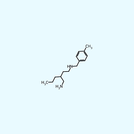 CCCC(CN)CCNCc1ccc(C)cc1